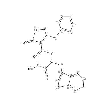 CC(C)(C)OC(=O)[C@H](CC(=O)N1C(=O)OCC1Cc1ccccc1)Cc1csc2ccccc12